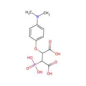 CN(C)c1ccc(OC(C(=O)O)C(C(=O)O)P(=O)(O)O)cc1